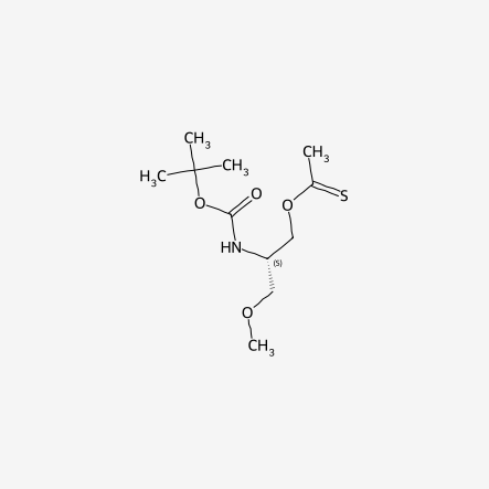 COC[C@@H](COC(C)=S)NC(=O)OC(C)(C)C